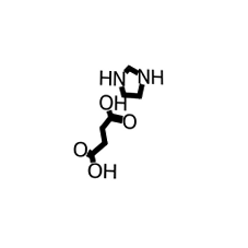 C1CNCN1.O=C(O)CCC(=O)O